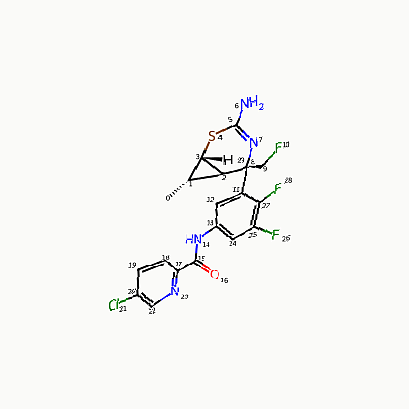 C[C@H]1C2[C@H]1SC(N)=N[C@]2(CF)c1cc(NC(=O)c2ccc(Cl)cn2)cc(F)c1F